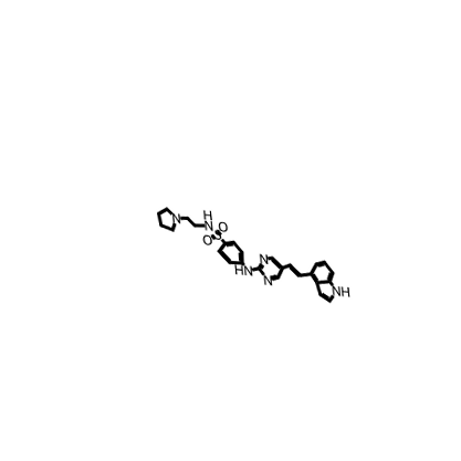 O=S(=O)(NCCN1CCCC1)c1ccc(Nc2ncc(C=Cc3cccc4[nH]ccc34)cn2)cc1